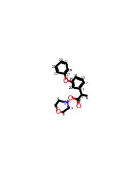 CC(C(=O)ON1CCOCC1)c1cccc(Oc2ccccc2)c1